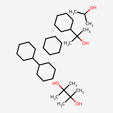 C1CCC(C2CCCCC2)CC1.C1CCCCC1.CC(C)(O)C(C)(C)O.CC(C)(O)C1CCCCC1.CC(C)O